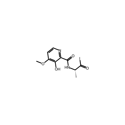 COc1ccnc(C(=O)N[C@@H](C)C(=O)I)c1O